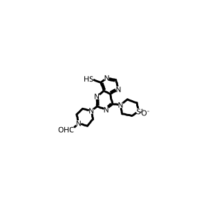 O=CN1CCN(c2nc(N3CC[S+]([O-])CC3)c3ncnc(S)c3n2)CC1